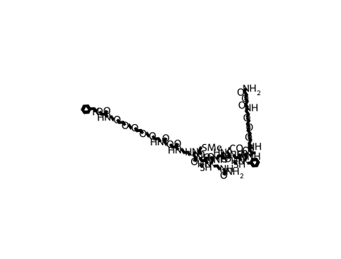 CSCC(=O)N[C@@H](CCCCNC(=O)COCC(=O)NCCOCCOCCOCCOCCOCCNC(=O)CO/N=C/c1ccccc1)C(=O)N[C@@H](CS)C(=O)N[C@@H](CCCNC(N)=O)C(=O)NCC(=O)N[C@@H](CC(=O)O)C(=O)N[C@@H](CS)C(=O)N[C@@H](Cc1ccccc1)C(=O)NC(C)C(=O)NCCOCCOCCOCCNC(=O)COCC(N)=O